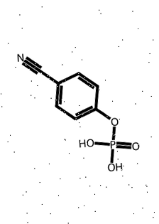 N#Cc1ccc(OP(=O)(O)O)cc1